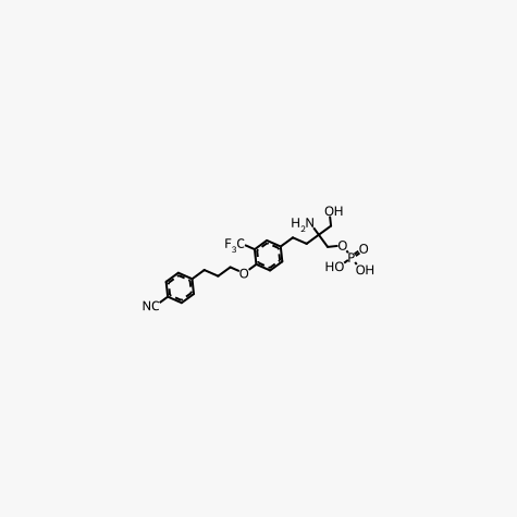 N#Cc1ccc(CCCOc2ccc(CCC(N)(CO)COP(=O)(O)O)cc2C(F)(F)F)cc1